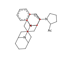 CC(=O)C1CCCN1C(=O)CN(c1ccccc1)C1CC2CCCC(C1)N2C1CC2CCCC(C2)C1